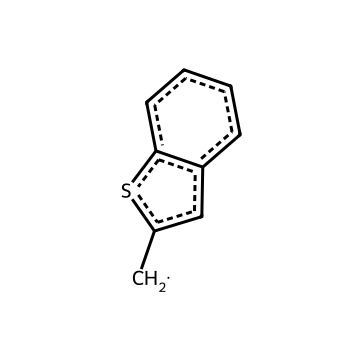 [CH2]c1cc2ccccc2s1